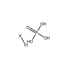 C[CH2][K].O=P(O)(O)O